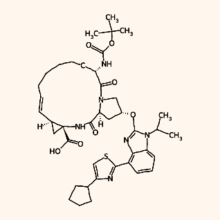 CC(C)n1c(O[C@@H]2C[C@H]3C(=O)N[C@]4(C(=O)O)C[C@H]4/C=C\CCCCC[C@H](NC(=O)OC(C)(C)C)C(=O)N3C2)nc2c(-c3nc(C4CCCC4)cs3)cccc21